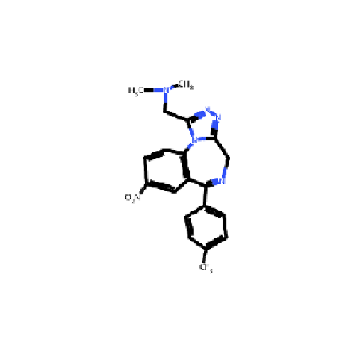 CN(C)Cc1nnc2n1-c1ccc([N+](=O)[O-])cc1C(c1ccc(C(F)(F)F)cc1)=NC2